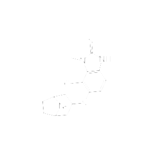 CN1C2CCC1CC(Sc1ccc3[nH]c(=S)n(C)c3c1Cl)C2